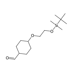 CC(C)(C)[Si](C)(C)OCCOC1CCC(C=O)CC1